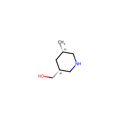 C[C@@H]1CNC[C@H](CO)C1